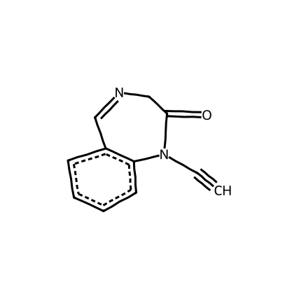 C#CN1C(=O)CN=Cc2ccccc21